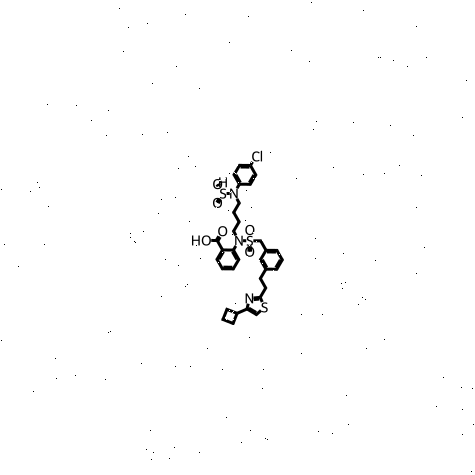 O=C(O)c1ccccc1N(CCCCN(c1ccc(Cl)cc1)[SH](=O)=O)S(=O)(=O)Cc1cccc(CCc2nc(C3CCC3)cs2)c1